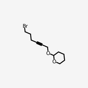 BrCCCC#CCOC1CCCCO1